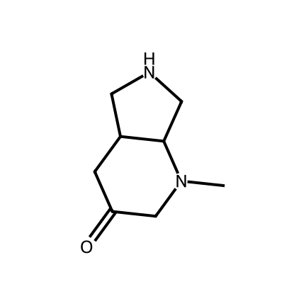 CN1CC(=O)CC2CNCC21